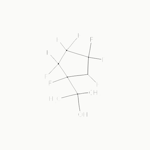 CC(C)(O)C1(F)C(F)C(F)(F)C(F)(F)C1(F)F